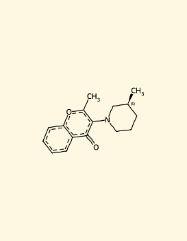 Cc1oc2ccccc2c(=O)c1N1CCC[C@H](C)C1